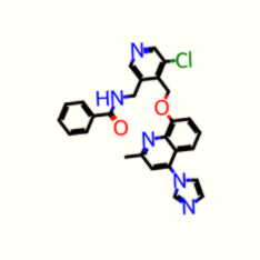 Cc1cc(-n2ccnc2)c2cccc(OCc3c(Cl)cncc3CNC(=O)c3ccccc3)c2n1